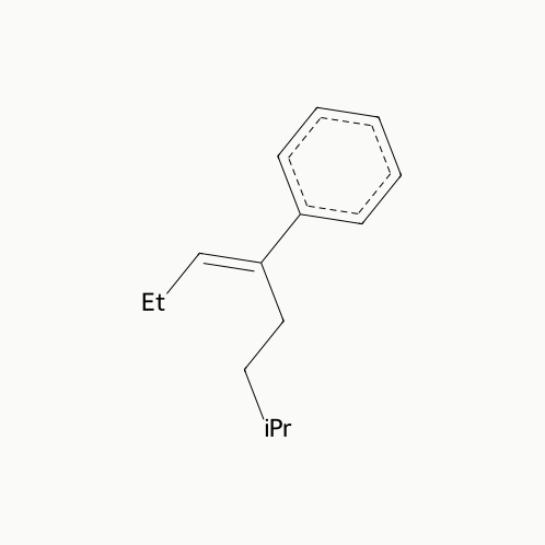 [CH2]CC=C(CCC(C)C)c1ccccc1